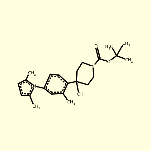 Cc1cc(-n2c(C)ccc2C)ccc1C1(O)CCN(C(=O)OC(C)(C)C)CC1